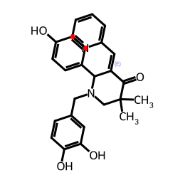 CC1(C)CN(Cc2ccc(O)c(O)c2)C(c2ccc(O)cc2)/C(=C\c2ccccn2)C1=O